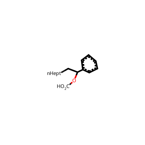 CCCCCCCCC(OC(=O)O)c1ccccc1